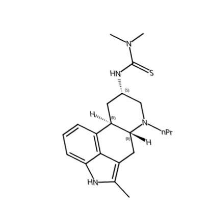 CCCN1C[C@@H](NC(=S)N(C)C)C[C@@H]2c3cccc4[nH]c(C)c(c34)C[C@H]21